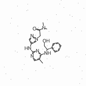 Cc1cnc(Nc2cnn(CC(=O)N(C)C)c2)nc1NC(CO)c1ccccc1